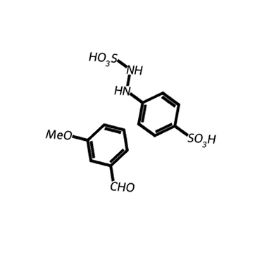 COc1cccc(C=O)c1.O=S(=O)(O)NNc1ccc(S(=O)(=O)O)cc1